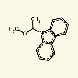 COC(C)n1c2ccccc2c2ccccc21